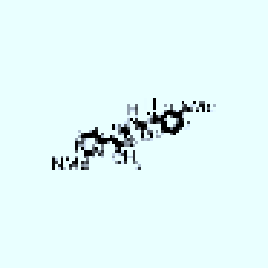 CNc1nccc(-c2sc(NC(=O)Nc3cccc(SC)c3)nc2C)n1